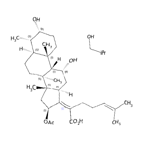 CC(=O)O[C@H]1C[C@@]2(C)[C@@H](C[C@@H](O)[C@H]3[C@@]4(C)CC[C@@H](O)[C@@H](C)[C@@H]4CC[C@@]32C)/C1=C(\CCC=C(C)C)C(=O)O.CC(C)CO